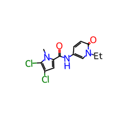 CCn1cc(NC(=O)c2cc(Cl)c(Cl)n2C)ccc1=O